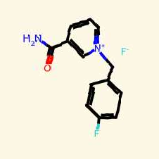 NC(=O)c1ccc[n+](Cc2ccc(F)cc2)c1.[F-]